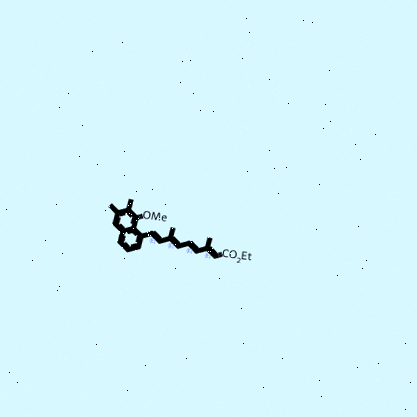 CCOC(=O)/C=C(C)/C=C/C=C(C)/C=C/c1cccc2cc(C)c(C)c(OC)c12